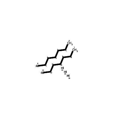 CCCCC[CH2][Al].CCCCC[CH2][Al].I.I.I